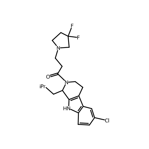 CC(C)CC1c2[nH]c3ccc(Cl)cc3c2CCN1C(=O)CCN1CCC(F)(F)C1